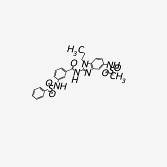 CCCn1c(NC(=O)c2cccc(NS(=O)(=O)c3ccccc3)c2)nc2cc(NS(C)(=O)=O)ccc21